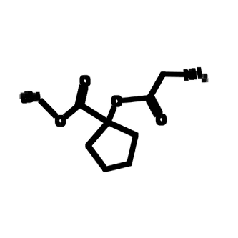 CC(C)(C)OC(=O)C1(OC(=O)CN)CCCC1